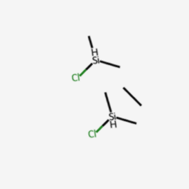 CC.C[SiH](C)Cl.C[SiH](C)Cl